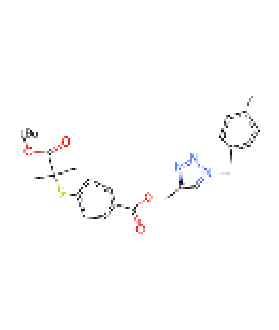 Cc1ccc(Cn2cc(COC(=O)c3ccc(SC(C)(C)C(=O)OC(C)(C)C)cc3)nn2)cc1